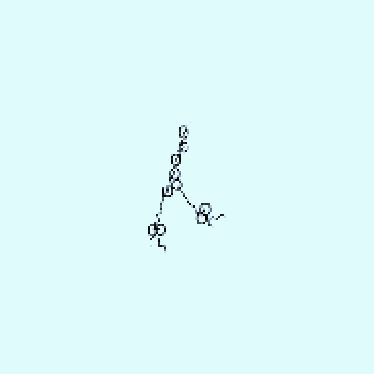 [CH2]COCCOCCOCCOCC(COCCCCCCCC(=O)OC(CC)CCCC)OCCCCCCCC(=O)OC(CC)CCCC